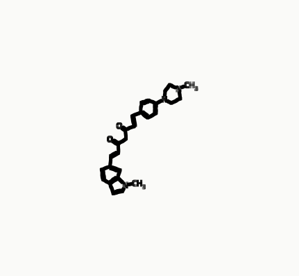 CN1CCN(c2ccc(C=CC(=O)CC(=O)C=Cc3ccc4ccn(C)c4c3)cc2)CC1